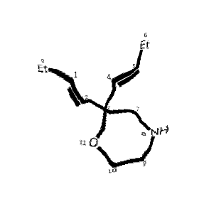 CCC=CC1(C=CCC)CNCCO1